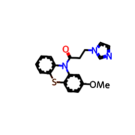 COc1ccc2c(c1)N(C(=O)CCn1ccnc1)c1ccccc1S2